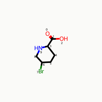 O=C(O)C1CCC(Br)CN1